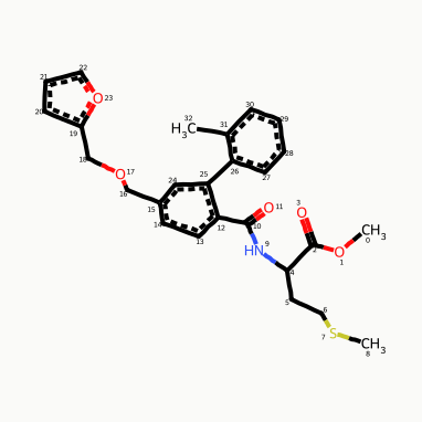 COC(=O)C(CCSC)NC(=O)c1ccc(COCc2ccco2)cc1-c1ccccc1C